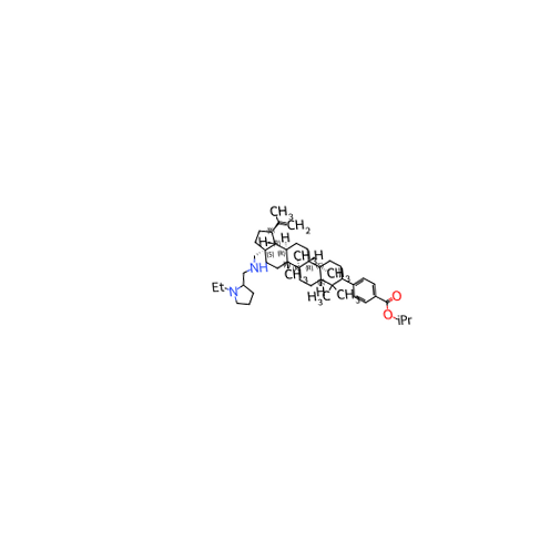 C=C(C)[C@@H]1CC[C@]2(CNCC3CCCN3CC)CC[C@]3(C)[C@H](CC[C@@H]4[C@@]5(C)CC=C(c6ccc(C(=O)OC(C)C)cc6)C(C)(C)[C@@H]5CC[C@]43C)[C@@H]12